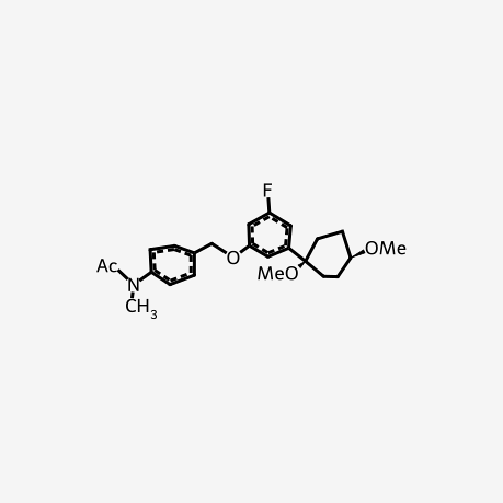 CO[C@H]1CC[C@](OC)(c2cc(F)cc(OCc3ccc(N(C)C(C)=O)cc3)c2)CC1